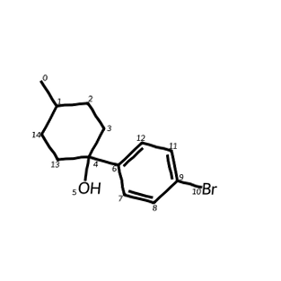 CC1CCC(O)(c2ccc(Br)cc2)CC1